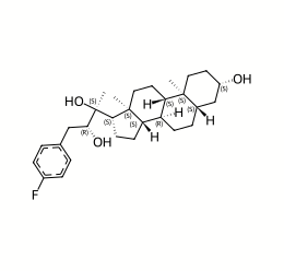 C[C@@](O)([C@H](O)Cc1ccc(F)cc1)[C@H]1CC[C@H]2[C@@H]3CC[C@H]4C[C@@H](O)CC[C@]4(C)[C@H]3CC[C@]12C